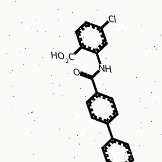 O=C(Nc1cc(Cl)ccc1C(=O)O)c1ccc(-c2ccccc2)cc1